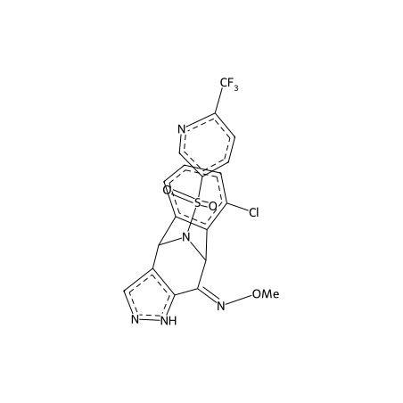 CON=C1c2[nH]ncc2C2c3cccc(Cl)c3C1N2S(=O)(=O)c1ccc(C(F)(F)F)nc1